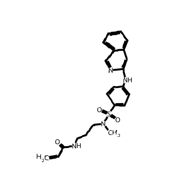 C=CC(=O)NCCCN(C)S(=O)(=O)c1ccc(Nc2cc3ccccc3cn2)cc1